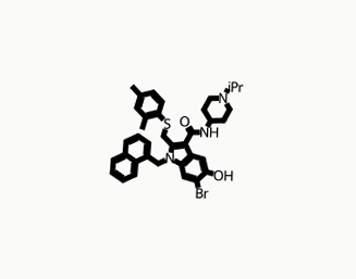 Cc1ccc(SCc2c(C(=O)NC3CCN(C(C)C)CC3)c3cc(O)c(Br)cc3n2Cc2cccc3ccccc23)c(C)c1